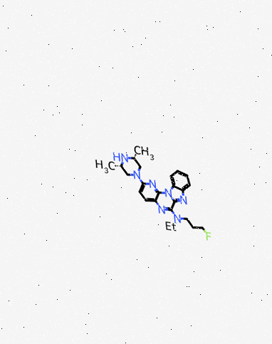 CCN(CCCF)c1nc2ccc(N3C[C@@H](C)N[C@@H](C)C3)nc2n2c1nc1ccccc12